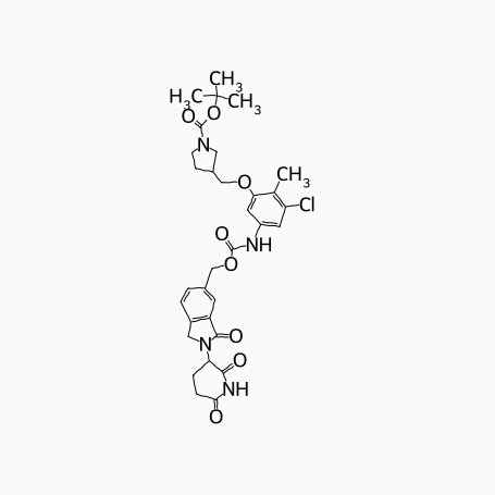 Cc1c(Cl)cc(NC(=O)OCc2ccc3c(c2)C(=O)N(C2CCC(=O)NC2=O)C3)cc1OCC1CCN(C(=O)OC(C)(C)C)C1